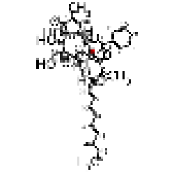 C=C(C)C12OC3(c4ccccc4)OC1[C@@H]1[C@@H]4O[C@]4(CO)[C@@H](O)[C@]4(O)C(=O)C(C)=C[C@H]4C1(O3)[C@H](C)[C@H]2OC(=O)/C=C/C=C/C=C/CCC